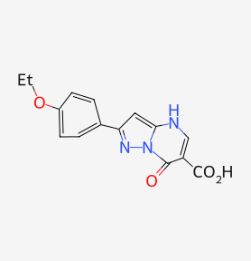 CCOc1ccc(-c2cc3[nH]cc(C(=O)O)c(=O)n3n2)cc1